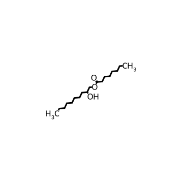 CCCCCCCCC(O)COC(=O)CCCCCCC